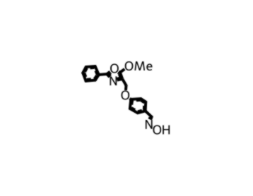 COc1oc(-c2ccccc2)nc1COc1ccc(/C=N/O)cc1